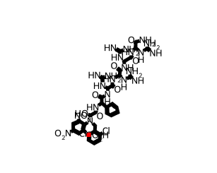 N=C(N)NC(NC(=O)C(NC(=N)N)NC(=O)C(NC(=N)N)NC(=O)C(NC(=N)N)NC(=O)C(NC(=O)C(O)N(Cc1c(Cl)cccc1Cl)c1c(C(=O)O)cc([N+](=O)[O-])cc1[N+](=O)[O-])c1ccccc1)C(N)=O